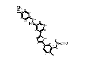 Cc1ccc(-c2ccc(-c3cncc(NSc4ccc(OC(F)(F)F)cc4)c3)s2)cc1CN(C)C=O